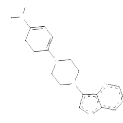 C[S+]([O-])C1=CC=C(N2CCN(c3csc4cccnc34)CC2)CC1